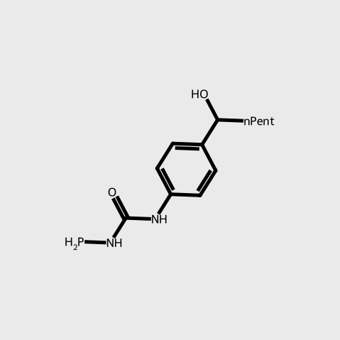 CCCCCC(O)c1ccc(NC(=O)NP)cc1